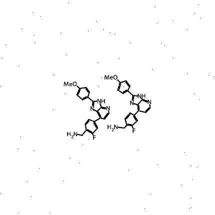 COc1ccc(-c2nc3c(-c4ccc(CN)c(F)c4)ccnc3[nH]2)cc1.COc1ccc(-c2nc3c(-c4ccc(CN)c(F)c4)ccnc3[nH]2)cc1